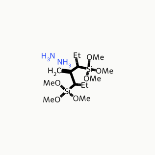 C=C(C(CC)[Si](OC)(OC)OC)C(CC)[Si](OC)(OC)OC.N.N